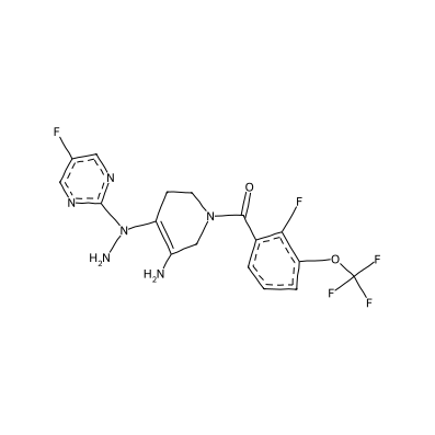 NC1=C(N(N)c2ncc(F)cn2)CCN(C(=O)c2cccc(OC(F)(F)F)c2F)C1